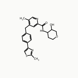 Cc1nc(-c2ccc(Cc3cc(C(=O)NC4CCOCC4O)ncc3C)cc2)cs1